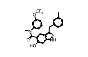 Cc1cccc(Cc2n[nH]c3cc(O)c(C(=O)N(C)c4cccc(OC(F)(F)F)c4)cc23)c1